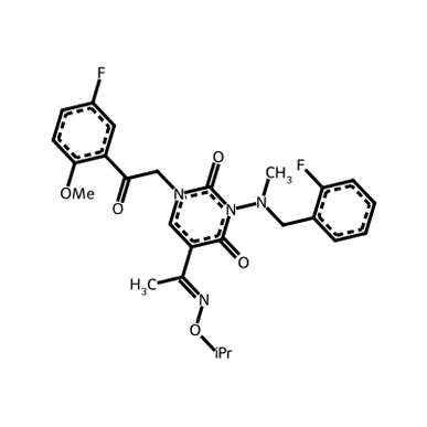 COc1ccc(F)cc1C(=O)Cn1cc(/C(C)=N/OC(C)C)c(=O)n(N(C)Cc2ccccc2F)c1=O